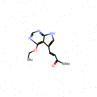 CNC(=O)/C=C/c1c[nH]c2ncnc(OCC(C)(C)C)c12